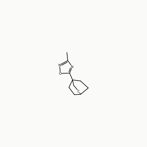 Cc1noc(C23CCC(CC2)CC3)n1